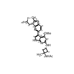 COc1nc(N[C@H]2C[C@](C)(NC(C)=O)C2)nc2[nH]cc(-c3ccc4nc(C)n(CC(F)F)c4n3)c12